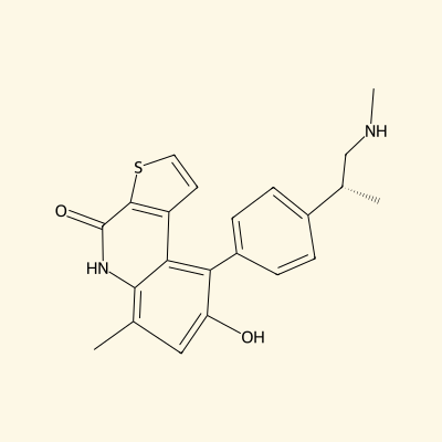 CNC[C@H](C)c1ccc(-c2c(O)cc(C)c3[nH]c(=O)c4sccc4c23)cc1